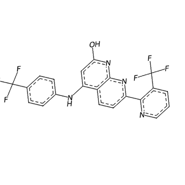 Oc1cc(Nc2ccc(C(F)(F)F)cc2)c2ccc(-c3ncccc3C(F)(F)F)nc2n1